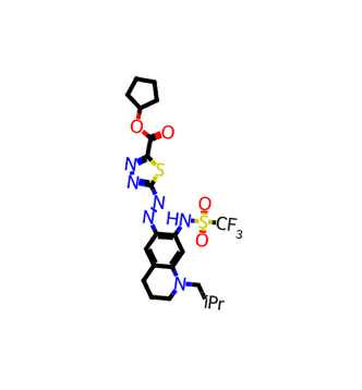 CC(C)CN1CCCc2cc(N=Nc3nnc(C(=O)OC4CCCC4)s3)c(NS(=O)(=O)C(F)(F)F)cc21